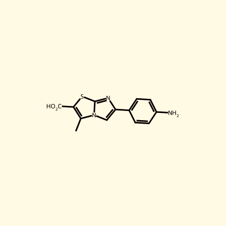 Cc1c(C(=O)O)sc2nc(-c3ccc(N)cc3)cn12